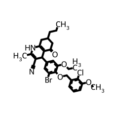 CCCC1CC(=O)C2=C(C1)NC(C)=C(C#N)C2c1cc(Br)c(OCc2cccc(OC)c2Cl)c(OCC)c1